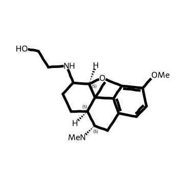 CN[C@H]1Cc2ccc(OC)c3c2C2(C)[C@H](O3)C(NCCO)CC[C@H]12